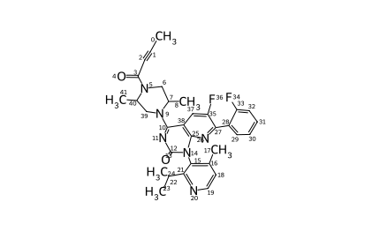 CC#CC(=O)N1CC(C)N(c2nc(=O)n(-c3c(C)ccnc3C(C)C)c3nc(-c4ccccc4F)c(F)cc23)CC1C